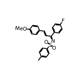 COc1ccc(/C=C/C(=N\S(=O)(=O)c2ccc(C)cc2)c2ccc(F)cc2)cc1